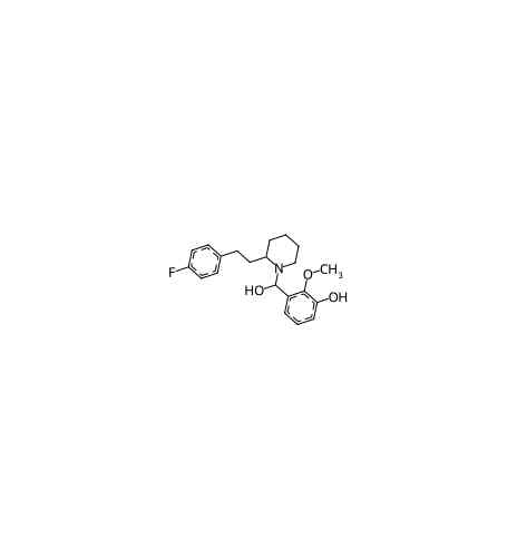 COc1c(O)cccc1C(O)N1CCCCC1CCc1ccc(F)cc1